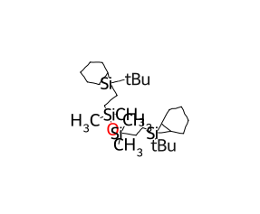 CC(C)(C)[Si]1(CC[Si](C)(C)O[Si](C)(C)CC[Si]2(C(C)(C)C)C3CCCCC32)C2CCCCC21